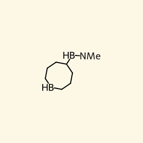 CNBC1CCCBCCC1